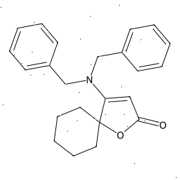 O=C1C=C(N(Cc2ccccc2)Cc2ccccc2)C2(CCCCC2)O1